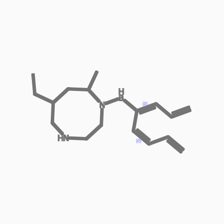 C=C/C=C\C(BN1CCNCC(CC)CC1C)=C/C=C